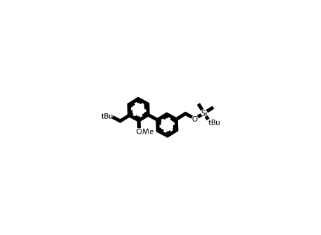 COc1c(CC(C)(C)C)cccc1-c1cccc(CO[Si](C)(C)C(C)(C)C)c1